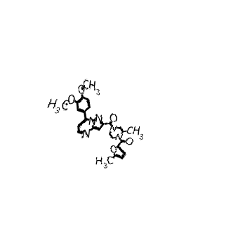 COc1ccc(-c2ccnc3cc(C(=O)N4CCN(C(=O)c5ccc(C)o5)C(C)C4)nn23)cc1OC